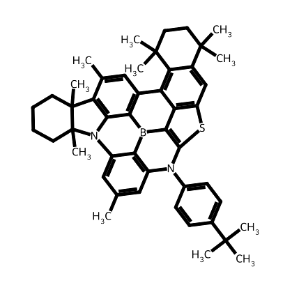 Cc1cc2c3c(c1)N1c4c5c(cc(C)c4C4(C)CCCCC14C)-c1c4c(cc6sc(c(c16)B35)N2c1ccc(C(C)(C)C)cc1)C(C)(C)CCC4(C)C